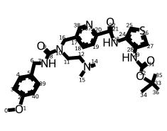 COc1ccc(CNC(=O)N(CCN(C)C)Cc2ccc(C(=O)Nc3cscc3NC(=O)OC(C)(C)C)nc2)cc1